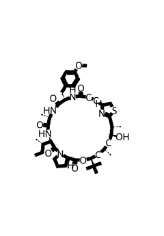 CC[C@H](C)[C@@H]1NC(=O)[C@H](C)NC(=O)[C@H](Cc2ccc(OC)cc2)NC(=O)CC[C@H]2CSC(=N2)[C@H](C)[C@@H](O)C[C@H](C)C[C@@H](C(C)(C)C)OC(=O)[C@@H]2CCCN2C1=O